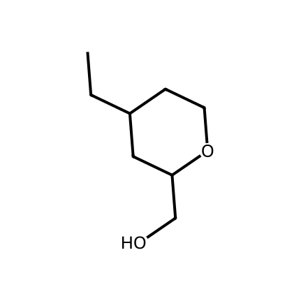 CCC1CCOC(CO)C1